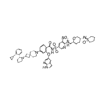 O=C(NS(=O)(=O)c1cnc(NC[C@@H]2CC[C@@H](N=S3(=O)CCCC3)CO2)c([N+](=O)[O-])c1)c1ccc(N2CCC3(CC2)CC(N2CCC[C@@H]2c2ccccc2C2CC2)C3)cc1Oc1cnc2[nH]ccc2c1